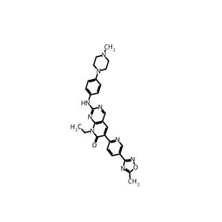 CCn1c(=O)c(-c2ccc(-c3noc(C)n3)cn2)cc2cnc(Nc3ccc(N4CCN(C)CC4)cc3)nc21